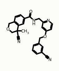 CC1(C#N)COCc2ccc(C(=O)NCc3cc(OCc4cccc(C#N)c4)ccn3)cc21